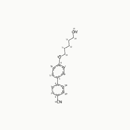 N#Cc1ccc(-c2ccc(OCCCCCO)cc2)cc1